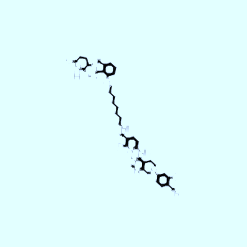 N#Cc1ccc(N2CCc3c(ncnc3Nc3ccc(C(=O)NCCCCCCCCOc4cccc5c4C(=O)N(C4CCC(=O)NC4=O)C5=O)c(F)n3)C2)cc1Cl